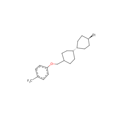 CC[C@H]1CC[C@H](C2CCC(COc3ccc(C(F)(F)F)cc3)CC2)CC1